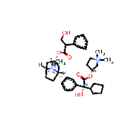 CC(C)[N@@+]1(C)[C@@H]2CC[C@H]1C[C@@H](OC(=O)C(CO)c1ccccc1)C2.C[N+]1(C)CC[C@@H](OC(=O)[C@](O)(c2ccccc2)C2CCCC2)C1